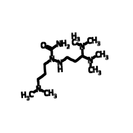 CN(C)CCCN(NCCC(N(C)C)N(C)C)C(N)=O